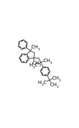 CC(C)(C)c1ccc(C(C)(C)CC2(C)CC(C)(c3ccccc3)c3ccccc32)cc1